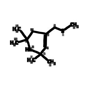 CSCC1=CC(C)(C)NC(C)(C)C1